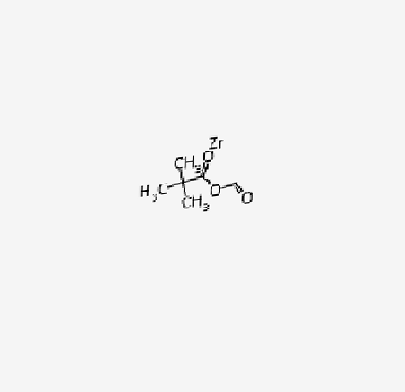 CC(C)(C)C(=O)OC=O.[Zr]